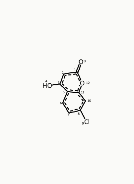 O=c1cc(O)c2ccc(Cl)cc2o1